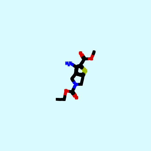 CCOC(=O)N1Cc2sc(C(=O)OC)c(N)c2C1